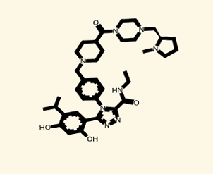 CCNC(=O)c1nnc(-c2cc(C(C)C)c(O)cc2O)n1-c1ccc(CN2CCC(C(=O)N3CCN(C[C@H]4CCCN4C)CC3)CC2)cc1